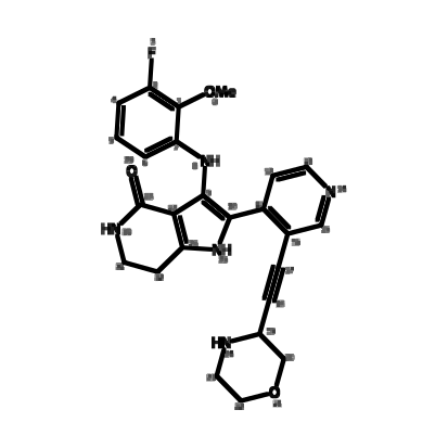 COc1c(F)cccc1Nc1c(-c2ccncc2C#CC2COCCN2)[nH]c2c1C(=O)NCC2